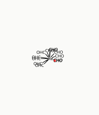 O=[CH][Re]([CH]=O)([CH]=O)([CH]=O)([CH]=O)([CH]=O)([CH]=O)([CH]=O)([CH]=O)([CH]=O)([CH]=O)[CH]=O